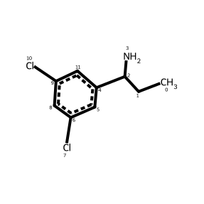 CCC(N)c1cc(Cl)cc(Cl)c1